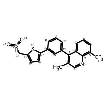 Cc1cnc2c(C(F)(F)F)cccc2c1-c1cccc(-c2ccc(C[SH](=O)=O)s2)c1